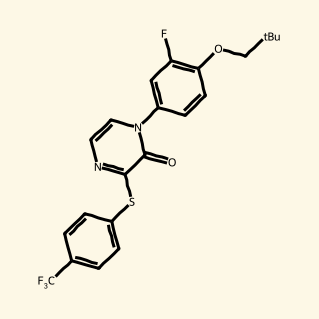 CC(C)(C)COc1ccc(-n2ccnc(Sc3ccc(C(F)(F)F)cc3)c2=O)cc1F